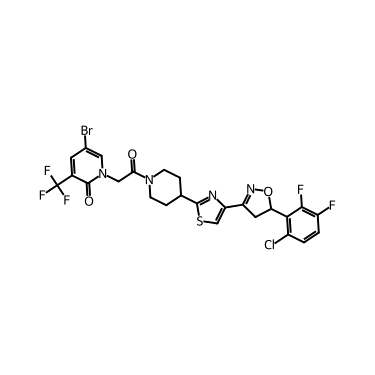 O=C(Cn1cc(Br)cc(C(F)(F)F)c1=O)N1CCC(c2nc(C3=NOC(c4c(Cl)ccc(F)c4F)C3)cs2)CC1